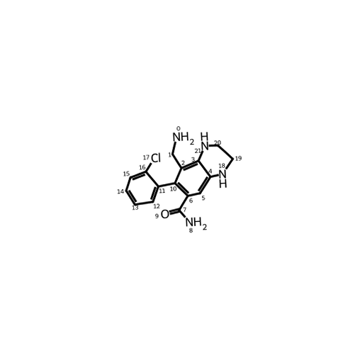 NCc1c2c(cc(C(N)=O)c1-c1ccccc1Cl)NCCN2